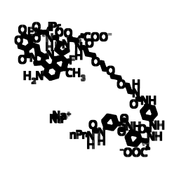 CCCNC(=O)Nc1cccc(S(=O)(=O)Nc2cccc([C@@H](CC(=O)[O-])NC(=O)Nc3ccc(NC(=O)NCCOCCOCCOCCC(=O)N[C@@H](CC(=O)[O-])C(=O)N4CCC[C@H]4C(=O)N[C@H](C(=O)O[C@]4(CC)C(=O)OCc5c4cc4n(c5=O)Cc5c-4nc4cc(F)c(C)c6c4c5[C@@H](N)CC6)C(C)C)cc3)c2)c1.[Na+].[Na+]